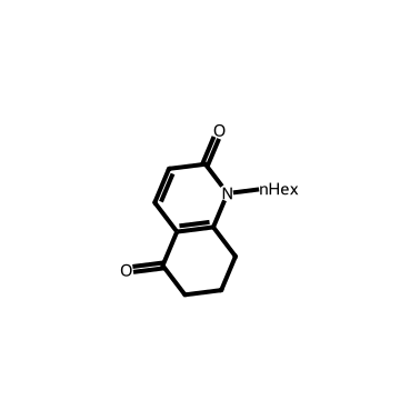 CCCCCCn1c2c(ccc1=O)C(=O)CCC2